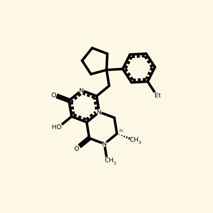 CCc1cccc(C2(Cc3nc(=O)c(O)c4n3C[C@H](C)N(C)C4=O)CCCC2)c1